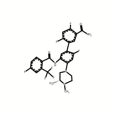 C[C@@H]1CN(c2cc(F)c(-c3cc(C(N)=O)c(F)cc3F)cc2NC(=O)c2ccc(F)cc2C(F)(F)F)CCN1C